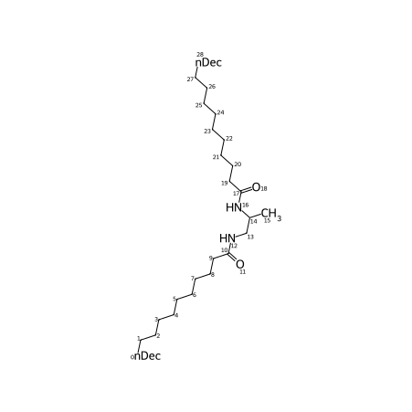 CCCCCCCCCCCCCCCCCCCC(=O)NCC(C)NC(=O)CCCCCCCCCCCCCCCCCCC